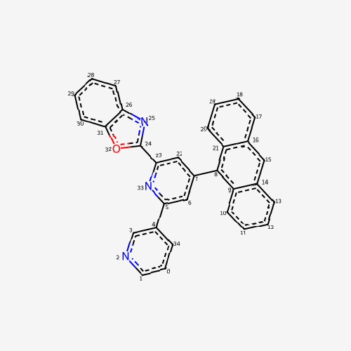 c1cncc(-c2cc(-c3c4ccccc4cc4ccccc34)cc(-c3nc4ccccc4o3)n2)c1